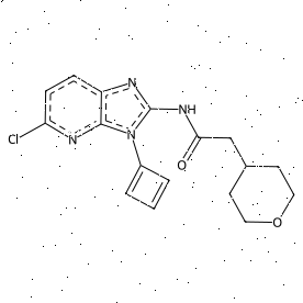 O=C(CC1CCOCC1)Nc1nc2ccc(Cl)nc2n1C1=CC=C1